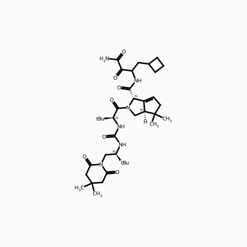 CC1(C)CC(=O)N(C[C@@H](NC(=O)N[C@H](C(=O)N2C[C@H]3C(=CCC3(C)C)[C@H]2C(=O)NC(CC2CCC2)C(=O)C(N)=O)C(C)(C)C)C(C)(C)C)C(=O)C1